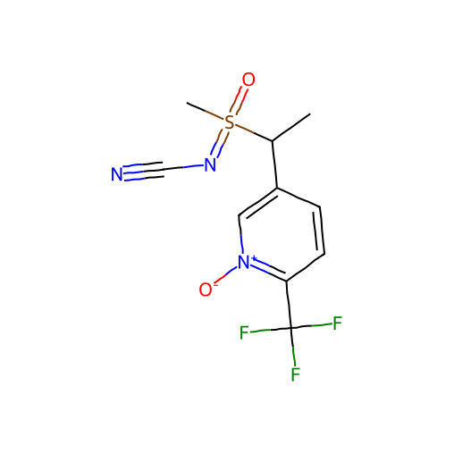 CC(c1ccc(C(F)(F)F)[n+]([O-])c1)S(C)(=O)=NC#N